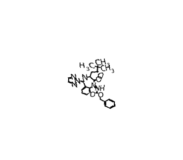 CC(C)(C)C(=O)CC1N=C(n2nccn2)c2ccccc2N(NC(=O)OCc2ccccc2)C1=O